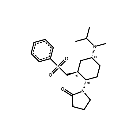 CC(C)N(C)[C@@H]1CC[C@H](N2CCCC2=O)[C@@H](CS(=O)(=O)c2ccccc2)C1